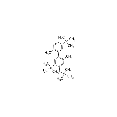 Cc1ccc(C(C)(C)C)cc1-c1cc([Si](C)(C)C)c(CC(C)(C)C)c[n+]1C